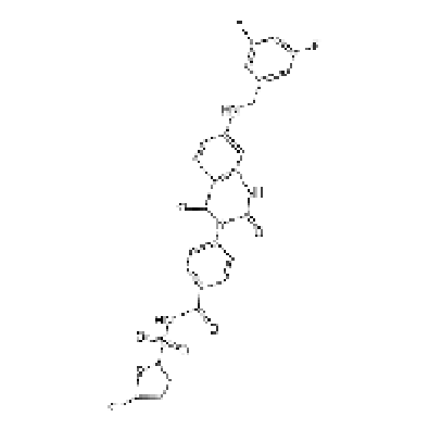 O=C(NS(=O)(=O)C1CC=C(Cl)S1)c1ccc(-n2c(=O)[nH]c3cc(NCc4cc(F)cc(F)c4)ccc3c2=O)cc1